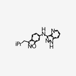 CC(C)Cc1noc2cc(Nc3n[nH]c4cccnc34)ccc12